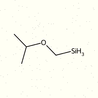 CC(C)OC[SiH3]